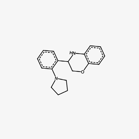 c1ccc2c(c1)NC(c1ccccc1N1CCCC1)CO2